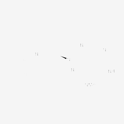 C=CC(=O)N1CCC[C@@H](n2nc(NC)c3c(N)ncnc32)C1